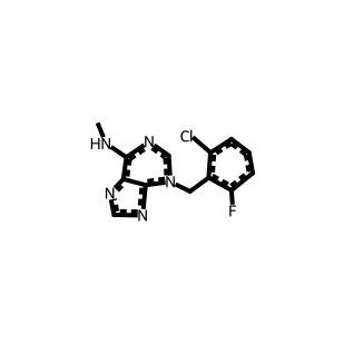 CNc1ncn(Cc2c(F)cccc2Cl)c2ncnc1-2